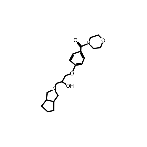 O=C(c1ccc(OCC(O)CN2CC3CCCC3C2)cc1)N1CCOCC1